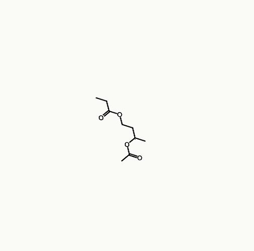 CCC(=O)OCC[C](C)OC(C)=O